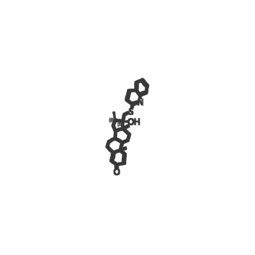 C[C@@H]1CC2C3CCC4=CC(=O)C=CC4(C)C3CCC2(C)[C@@]1(O)CSc1ccc2ccccc2n1